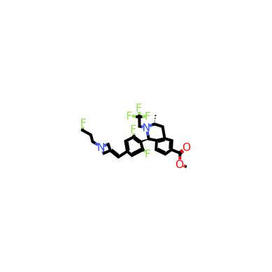 COC(=O)c1ccc2c(c1)C[C@@H](C)N(CC(F)(F)F)[C@@H]2c1c(F)cc(C=C2CN(CCCF)C2)cc1F